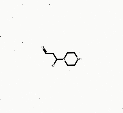 [O]C(CC=O)N1CCNCC1